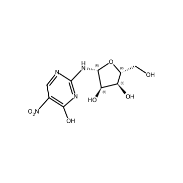 O=[N+]([O-])c1cnc(N[C@@H]2O[C@H](CO)[C@@H](O)[C@H]2O)nc1O